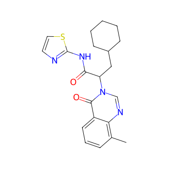 Cc1cccc2c(=O)n(C(CC3CCCCC3)C(=O)Nc3nccs3)cnc12